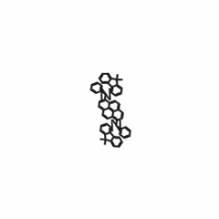 CC1(C)c2ccccc2-c2c(N(c3ccccc3)c3ccc4ccc5c(N(c6ccccc6)c6cccc7c6-c6ccccc6C7(C)C)ccc6ccc3c4c65)cccc21